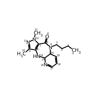 CCCCN1C(=O)c2c(c(C)nn2C)NC2N=CC=CC21